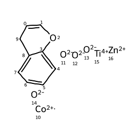 C1=COc2ccccc2C1.[Co+2].[O-2].[O-2].[O-2].[O-2].[Ti+4].[Zn+2]